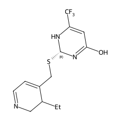 CCC1CN=CC=C1CS[C@H]1N=C(O)C=C(C(F)(F)F)N1